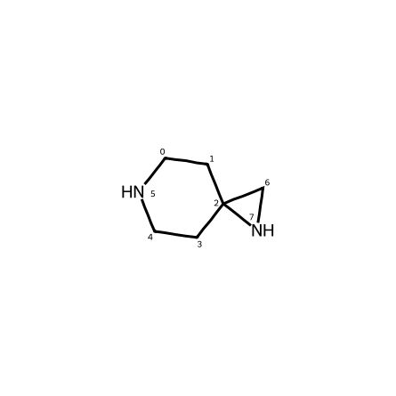 C1CC2(CCN1)CN2